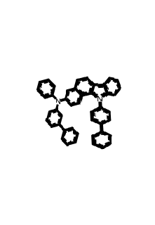 c1ccc(-c2ccc(-n3c4ccccc4c4ccc5cc(N(c6ccccc6)c6cccc(-c7ccccc7)c6)ccc5c43)cc2)cc1